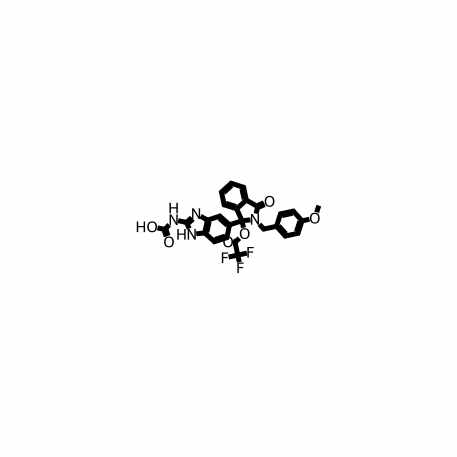 COc1ccc(CN2C(=O)c3ccccc3C2(OC(=O)C(F)(F)F)c2ccc3[nH]c(NC(=O)O)nc3c2)cc1